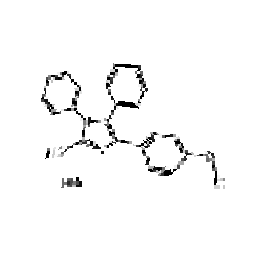 Br.CCOc1ccc(-c2nc(S)n(-c3ccccc3)c2-c2ccccc2)cc1